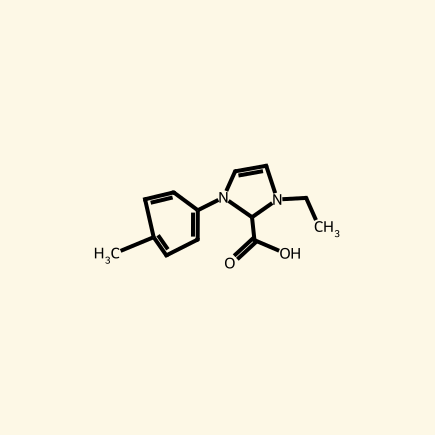 CCN1C=CN(c2ccc(C)cc2)C1C(=O)O